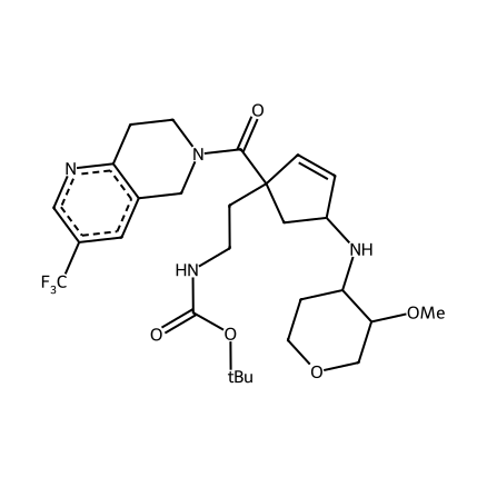 COC1COCCC1NC1C=CC(CCNC(=O)OC(C)(C)C)(C(=O)N2CCc3ncc(C(F)(F)F)cc3C2)C1